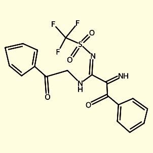 N=C(C(=O)c1ccccc1)/C(=N/S(=O)(=O)C(F)(F)F)NCC(=O)c1ccccc1